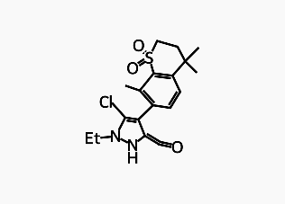 CCN1NC(=C=O)C(c2ccc3c(c2C)S(=O)(=O)CCC3(C)C)=C1Cl